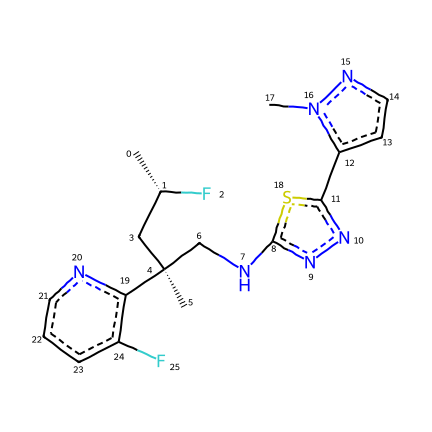 C[C@H](F)C[C@@](C)(CNc1nnc(-c2ccnn2C)s1)c1ncccc1F